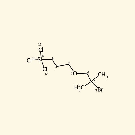 CC(C)(Br)COCCC[Si](Cl)(Cl)Cl